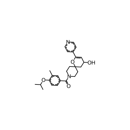 Cc1cc(C(=O)N2CCC3(CC2)CC(O)C=C(c2ccncc2)O3)ccc1OC(C)C